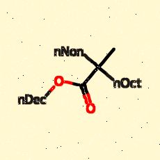 CCCCCCCCCCOC(=O)C(C)(CCCCCCCC)CCCCCCCCC